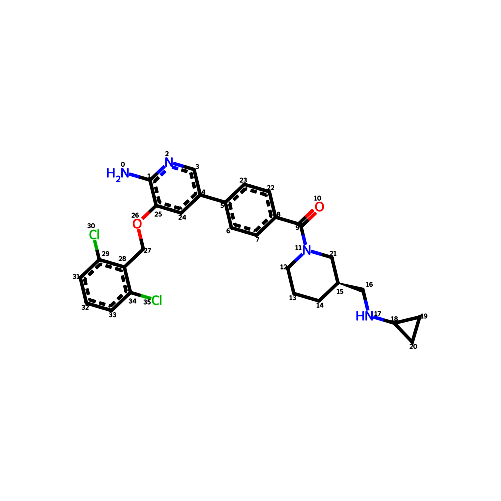 Nc1ncc(-c2ccc(C(=O)N3CCC[C@H](CNC4CC4)C3)cc2)cc1OCc1c(Cl)cccc1Cl